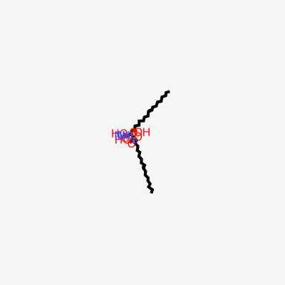 CCCCCCCCC=CCCCCCCCCC(C(=O)O)C(CCCCCCCCC=CCCCCCCCC)(C(=O)O)S(=O)(=O)O.N.N